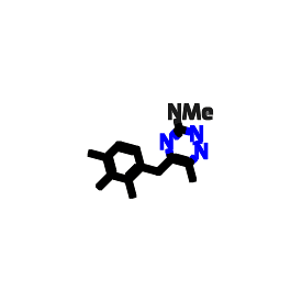 CNc1nnc(C)c(Cc2ccc(C)c(C)c2C)n1